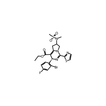 CCOC(=O)C1=C2CC(N(C)S(C)(=O)=O)CN2C(c2nccs2)=N[C@H]1c1ccc(F)cc1Br